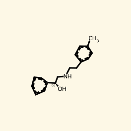 Cc1ccc(CCNC[C@@H](O)c2ccccc2)cc1